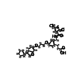 O=C(O)CCc1ccc(OCCCOc2ccc3c(-c4ccccc4)coc3c2)cc1CNC(=O)c1cc(Cl)sc1Cl